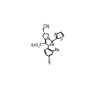 CCOC(=O)C1=C2C[C@@H](CC#N)CN2C(c2nccs2)=NC1c1ccc(F)cc1Br